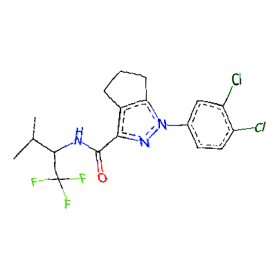 CC(C)C(NC(=O)c1nn(-c2ccc(Cl)c(Cl)c2)c2c1CCC2)C(F)(F)F